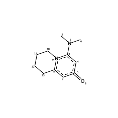 CN(C)c1cc(=O)cc2n1CCCC2